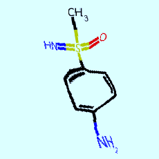 CS(=N)(=O)c1ccc(N)cc1